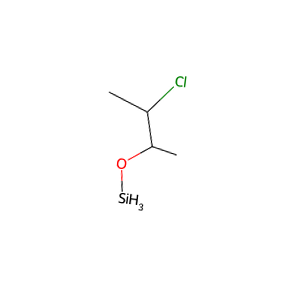 CC(Cl)C(C)O[SiH3]